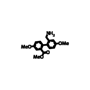 COC(=O)c1cc(OC)ccc1-c1ccc(OC)cc1CN